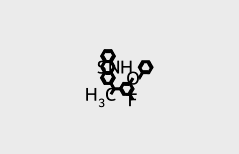 CC(c1cc(F)cc(OCc2ccccc2)c1)c1ccc2c(c1)Nc1ccccc1S2